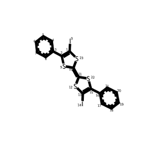 IC1=C(c2ccccc2)S/C(=C2\SC(I)=C(c3ccccc3)S2)S1